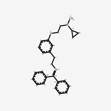 CN(CCOc1cccc(CCN=C(c2ccccc2)c2ccccc2)c1)C1CC1